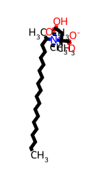 CCCCCCCCCCCCCCCCCCC(C)[N+](C)(C)C(C)(CC(=O)O)C(=O)[O-]